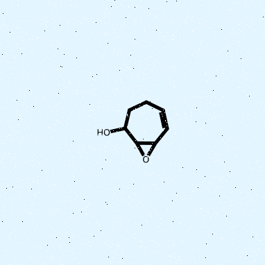 OC1CCC=CC2OC12